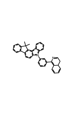 CC1(C)c2ccccc2-c2ccc3c(c21)c1ccccc1n3-c1cccc(C2=C3C=CC=CC3CC=N2)c1